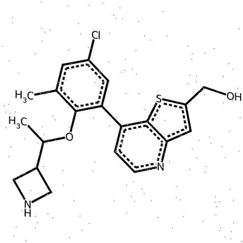 Cc1cc(Cl)cc(-c2ccnc3cc(CO)sc23)c1OC(C)C1CNC1